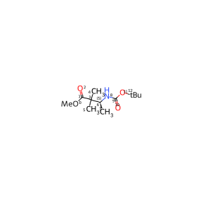 COC(=O)C(C)(C)[C@H](C)NC(=O)OC(C)(C)C